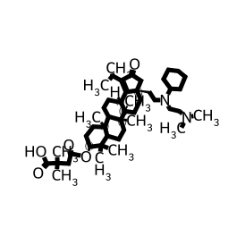 CC(C)C1=C2[C@H]3CCC4[C@@]5(C)CC[C@H](OC(=O)CC(C)(C)C(=O)O)C(C)(C)C5CC[C@@]4(C)[C@]3(C)CC[C@@]2(CCN(CCN(C)C)C2CCCCC2)CC1=O